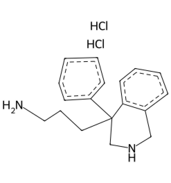 Cl.Cl.NCCCC1(c2ccccc2)CNCc2ccccc21